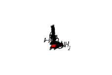 CC#CCOc1cnc(C(=O)Nc2ccc(F)c([C@@]3(C)C[C@@H](C(F)(F)F)OC(N)=N3)c2)cn1